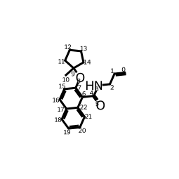 C=CCNC(=O)c1c(OC2(C)CCCC2)ccc2ccccc12